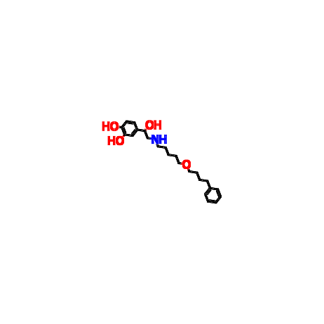 Oc1ccc(C(O)CNCCCCCOCCCCc2ccccc2)cc1O